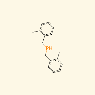 Cc1ccccc1CPCc1ccccc1C